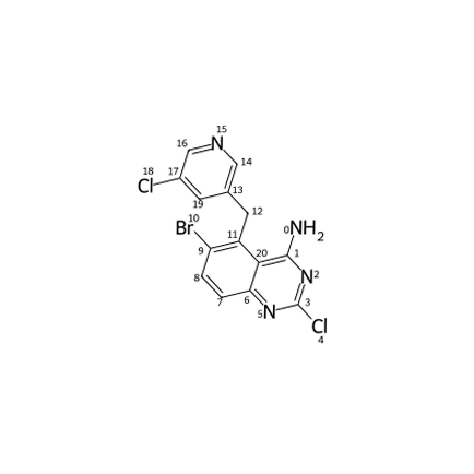 Nc1nc(Cl)nc2ccc(Br)c(Cc3cncc(Cl)c3)c12